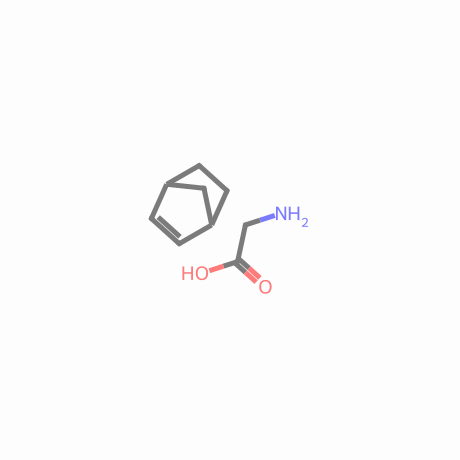 C1=CC2CCC1C2.NCC(=O)O